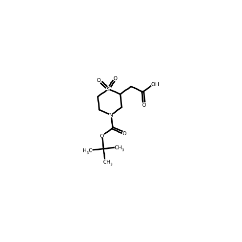 CC(C)(C)OC(=O)N1CCS(=O)(=O)C(CC(=O)O)C1